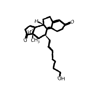 C[C@]12C[C@H](CCCCCCCO)C3=C4CCC(=O)C=C4CC[C@H]3[C@@H]1CCC2=O